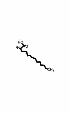 [2H]C(CCCCCCCCCCCC)C(=O)O